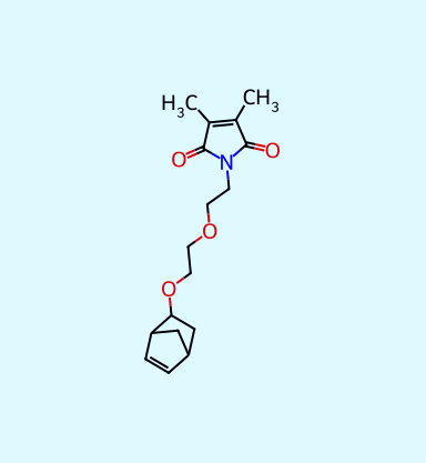 CC1=C(C)C(=O)N(CCOCCOC2CC3C=CC2C3)C1=O